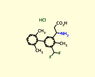 Cc1cccc(C)c1-c1cc(C(F)F)c(C)c(C(N)CC(=O)O)c1.Cl